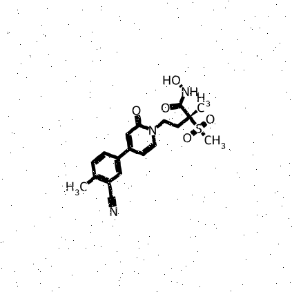 Cc1ccc(-c2ccn(CC[C@](C)(C(=O)NO)S(C)(=O)=O)c(=O)c2)cc1C#N